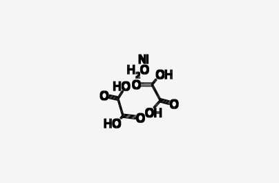 O.O=C(O)C(=O)O.O=C(O)C(=O)O.[Ni]